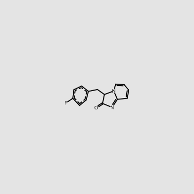 O=C1N=C2C=CC=CN2C1Cc1ccc(F)cc1